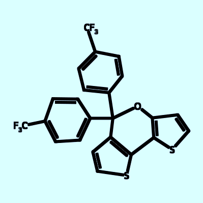 FC(F)(F)c1ccc(C2(c3ccc(C(F)(F)F)cc3)Oc3ccsc3-c3sccc32)cc1